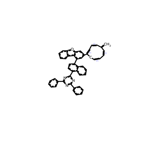 C=C1/C=C\C=C/C/C(c2cc(-c3ccc(-c4nc(-c5ccccc5)nc(-c5ccccc5)n4)c4ccccc34)c3c(c2)oc2ccccc23)=C\C=C/1